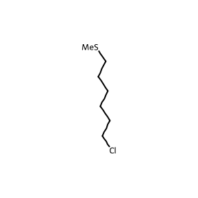 CSCCCCCCCl